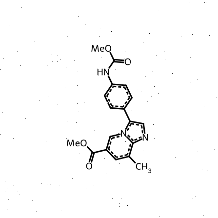 COC(=O)Nc1ccc(-c2cnc3c(C)cc(C(=O)OC)cn23)cc1